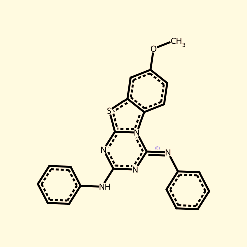 COc1ccc2c(c1)sc1nc(Nc3ccccc3)n/c(=N\c3ccccc3)n12